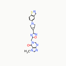 Cn1cnc2ncn(Cc3nc(C4C5CN(c6ccc7sncc7c6)CC54)no3)c(=O)c21